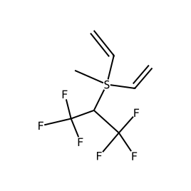 C=CS(C)(C=C)C(C(F)(F)F)C(F)(F)F